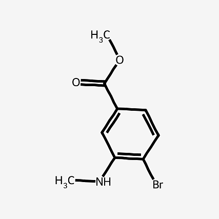 CNc1cc(C(=O)OC)ccc1Br